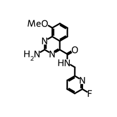 COc1cccc2c(C(=O)NCc3cccc(F)n3)nc(N)nc12